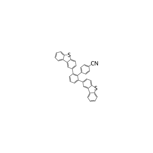 N#Cc1ccc(-c2c(-c3ccc4sc5ccccc5c4c3)cccc2-c2ccc3sc4ccccc4c3c2)cc1